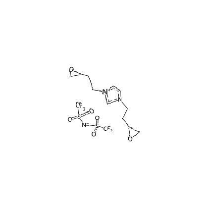 O=S(=O)([N-]S(=O)(=O)C(F)(F)F)C(F)(F)F.c1c[n+](CCC2CO2)cn1CCC1CO1